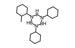 CC1CCCCC1N1BN(C2CCCCC2)BN(C2CCCCC2)B1